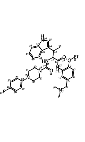 CCOc1ccc(CN(C)C)cc1NC(=O)C(NC(=O)N1CCN(c2ccc(F)cc2)CC1)C(C)c1c[nH]c2ccccc12